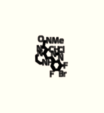 CNC(=O)c1nn2c(c1C)C(c1nc(Cl)nc3c(F)c(Br)c(F)cc13)NCCC2